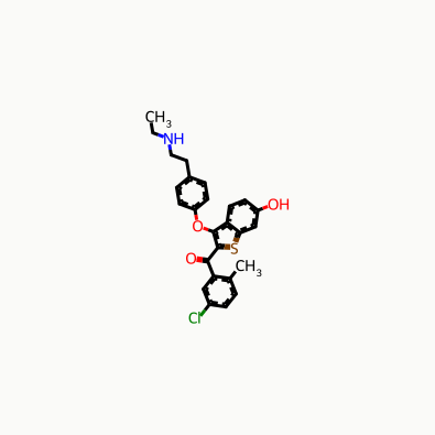 CCNCCc1ccc(Oc2c(C(=O)c3cc(Cl)ccc3C)sc3cc(O)ccc23)cc1